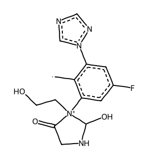 [CH2]c1c(-n2cncn2)cc(F)cc1[N+]1(CCO)C(=O)CNC1O